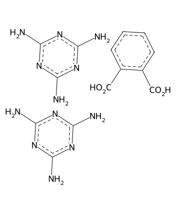 Nc1nc(N)nc(N)n1.Nc1nc(N)nc(N)n1.O=C(O)c1ccccc1C(=O)O